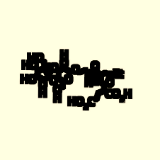 CCSCC(NC(=O)C(CCC(=O)O)C(=O)O)C(=O)NCCOC1OC(CO)C(OC2OC(CO)C(O)C(O)C2O)C(O)C1O